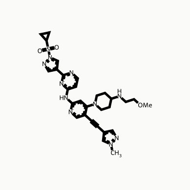 COCCNC1CCN(c2cc(Nc3ccnc(-c4cnn(S(=O)(=O)C5CC5)c4)n3)ncc2C#Cc2cnn(C)c2)CC1